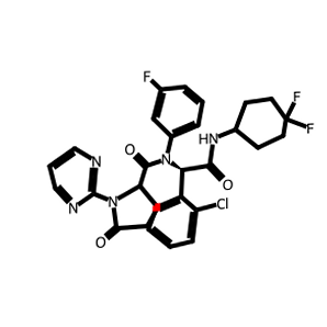 O=C(NC1CCC(F)(F)CC1)[C@@H](c1ccccc1Cl)N(C(=O)C1CCC(=O)N1c1ncccn1)c1cccc(F)c1